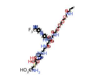 C#CCCC(=O)NCCOCCOCCOCCOCCC(=O)NCCNC(=O)[C@@H](CCC(=O)NCCCCNc1ncnc2c1ncn2C1OC(CSCCC(N)C(=O)O)C(O)C1O)NC(=O)c1ccc(/N=N/c2ccc(C3(C(F)(F)F)N=N3)cc2)cc1